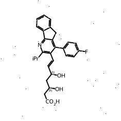 CC(C)c1nc2c(c(-c3ccc(F)cc3)c1C=C[C@@H](O)C[C@@H](O)CC(=O)O)Cc1ccccc1-2